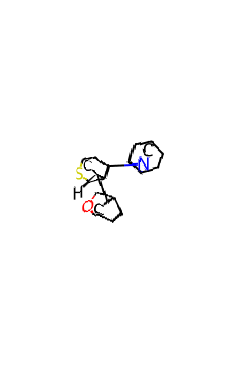 C1CC2CCC1CN2C1CC2C[C@@H](C3CC4CCC3CO4)C1CS2